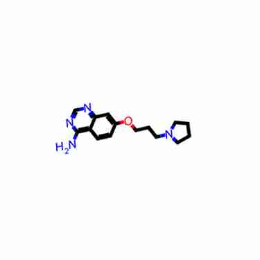 Nc1ncnc2cc(OCCCN3CCCC3)ccc12